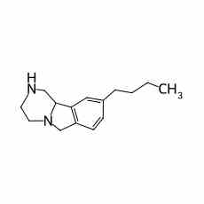 CCCCc1ccc2c(c1)C1CNCCN1C2